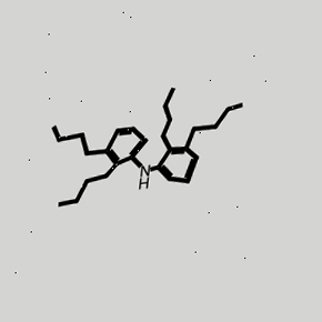 CCCCc1cccc(Nc2cccc(CCCC)c2CCCC)c1CCCC